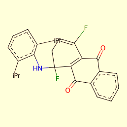 CC(C)c1cccc(C(C)C)c1NC1(F)CC=C(F)C2=C1C(=O)c1ccccc1C2=O